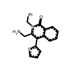 CC(C)Cn1c(CN)c(-c2cccs2)c2ccccc2c1=O